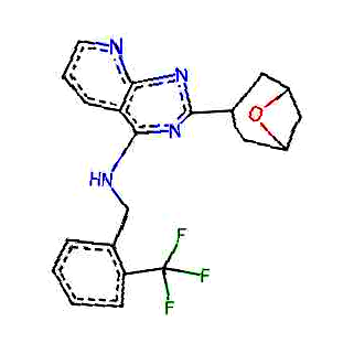 FC(F)(F)c1ccccc1CNc1nc(C2CC3CC(C2)O3)nc2ncccc12